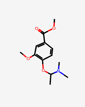 COC(=O)c1ccc(OC(C)N(C)C)c(OC)c1